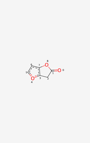 O=C1Cc2occc2O1